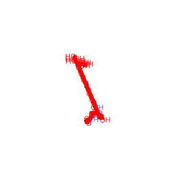 CC(C)[C@H](NC(=O)CCCCCN1C(=O)C=CC1=O)C(=O)N[C@@H](CCCCNC(=O)CCOCCOCCOCCOCCOCCCCCOCCOCCOCCOCCOCCOCCN(C[C@H](O)[C@@H](O)[C@H](O)[C@H](O)CO)C[C@H](O)[C@@H](O)[C@H](O)[C@H](O)CO)C(=O)Nc1ccc(CO)cc1